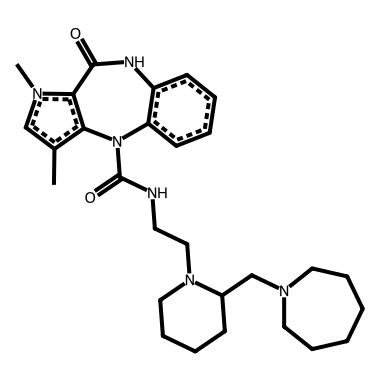 Cc1cn(C)c2c1N(C(=O)NCCN1CCCCC1CN1CCCCCC1)c1ccccc1NC2=O